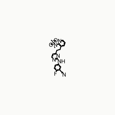 CN(c1ncccc1CCc1ccnc(Nc2ccc(F)c(C#N)c2)n1)S(C)(=O)=O